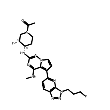 CNc1nc(N[C@H]2CCN(C(C)=O)C[C@H]2F)nn2ccc(-c3ccc4nnn(CCCF)c4n3)c12